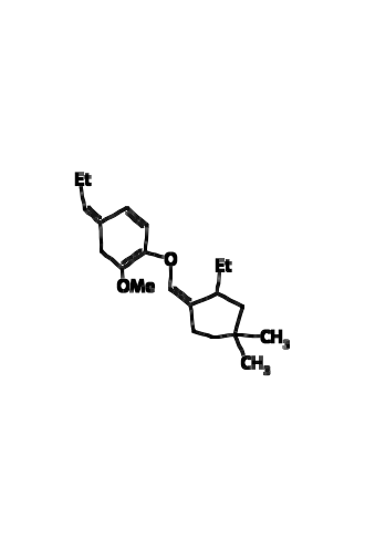 CCC=C1C=CC(OC=C2CCC(C)(C)CC2CC)=C(OC)C1